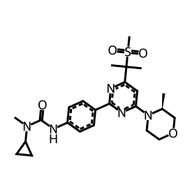 C[C@H]1COCCN1c1cc(C(C)(C)S(C)(=O)=O)nc(-c2ccc(NC(=O)N(C)C3CC3)cc2)n1